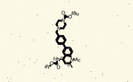 CC(=O)N1c2ccc(-c3ccc(CN4CCN(C(=O)OC(C)(C)C)CC4)cc3)cc2[C@H](NC(=O)OC(C)C)C[C@@H]1C